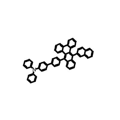 c1ccc(N(c2ccccc2)c2ccc(-c3ccc(-c4c5ccccc5c(-c5ccc6ccccc6c5)c5c6ccccc6c6ccccc6c45)cc3)cc2)cc1